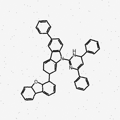 C1=CC2OC3C(=CC=CC3C3C=c4c(c5cc(-c6ccccc6)ccc5n4C4=NC(c5ccccc5)=CC(c5ccccc5)N4)=CC3)C2C=C1